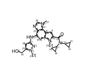 CCn1nc(Nc2nc3c(cc(C(=O)N(C4CC4)C4CC4)n3CC)c3c2ncn3C)cc1CO